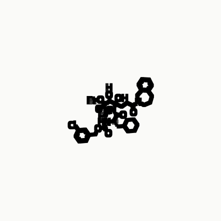 CCOP(=O)(OCC)C(O)C(O)(CCC(=O)N1CCCc2ccccc2C1)NC(=O)[C@H](CC1CCCCC1)NC(=O)OCc1cccc(Cl)c1